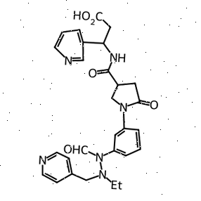 CCN(Cc1ccncc1)N(C=O)c1cccc(N2CC(C(=O)NC(CC(=O)O)c3cccnc3)CC2=O)c1